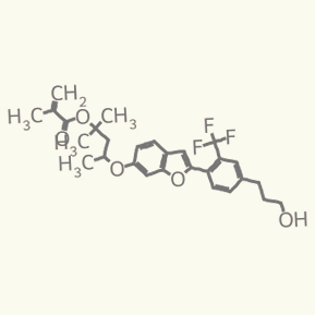 C=C(C)C(=O)OC(C)(C)CC(C)Oc1ccc2cc(-c3ccc(CCCO)cc3C(F)(F)F)oc2c1